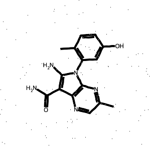 Cc1cnc2c(C(N)=O)c(N)n(-c3cc(O)ccc3C)c2n1